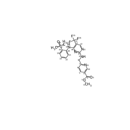 COC(=O)c1ccc(CNc2ncc(C(F)(F)F)c(Nc3ccccc3P(C)(C)=O)n2)nc1